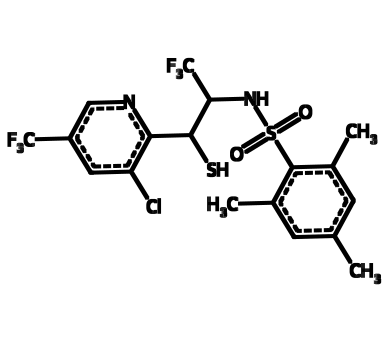 Cc1cc(C)c(S(=O)(=O)NC(C(S)c2ncc(C(F)(F)F)cc2Cl)C(F)(F)F)c(C)c1